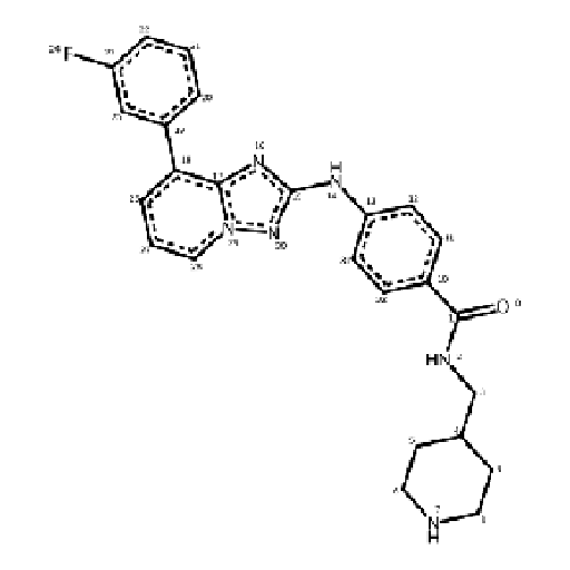 O=C(NCC1CCNCC1)c1ccc(Nc2nc3c(-c4cccc(F)c4)cccn3n2)cc1